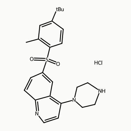 Cc1cc(C(C)(C)C)ccc1S(=O)(=O)c1ccc2nccc(N3CCNCC3)c2c1.Cl